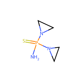 NP(=S)(N1CC1)N1CC1